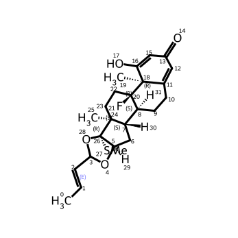 C/C=C/C1O[C@@H]2C[C@H]3[C@@H]4CCC5=CC(=O)C=C(O)[C@]5(C)[C@@]4(F)CC[C@]3(C)[C@]2(SC)O1